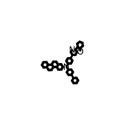 c1ccc(-c2ccc(N(c3ccc(-c4cnc5c(c4)oc4ccccc45)cc3)c3ccc4c(ccc5c6ccccc6ccc45)c3)cc2)cc1